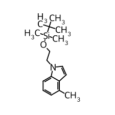 Cc1cccc2c1ccn2CCO[Si](C)(C)C(C)(C)C